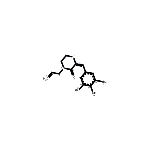 C=CCN1CCS/C(=C/c2cc(C(C)(C)C)c(O)c(C(C)(C)C)c2)C1=O